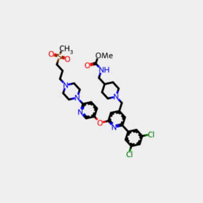 COC(=O)NCC1CCN(Cc2cc(Oc3ccc(N4CCN(CCCS(C)(=O)=O)CC4)nc3)nc(-c3cc(Cl)cc(Cl)c3)c2)CC1